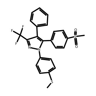 CSc1ccc(-n2nc(C(F)(F)F)c(-c3ccccc3)c2-c2ccc(S(C)(=O)=O)cc2)cc1